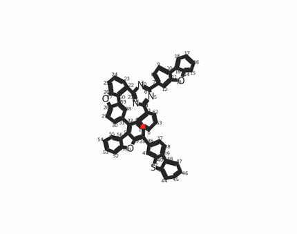 c1ccc(-c2nc(-c3ccc4c(c3)oc3ccccc34)nc(-c3cccc4oc5ccc(-c6ccc(-c7ccc8c(c7)sc7ccccc78)c7oc8ccccc8c67)cc5c34)n2)cc1